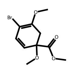 COC(=O)C1(OC)C=CC(Br)=C(OC)C1